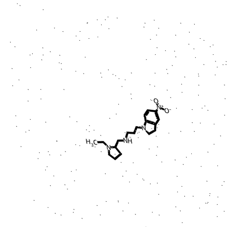 CCN1CCCC1CNCCCN1CCc2cc([N+](=O)[O-])ccc21